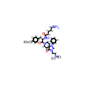 CCN(CC)CCN1CN(c2ccccc2)C2(CCN(C(=O)[C@@H](Cc3ccc(OC)cc3)NC(=O)CCCCN)CC2)C1=O